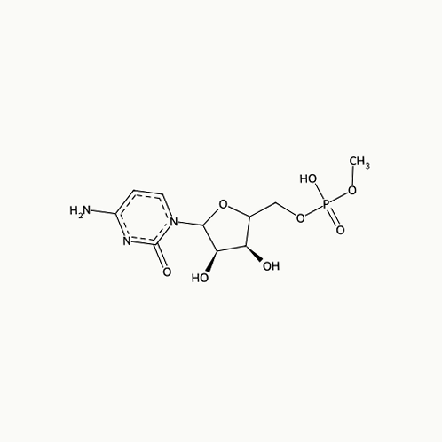 COP(=O)(O)OCC1OC(n2ccc(N)nc2=O)[C@H](O)[C@@H]1O